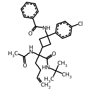 C=CCCC(NC(C)=O)(C(=O)NC(C)(C)C)C1CC(NC(=O)c2ccccc2)(c2ccc(Cl)cc2)C1